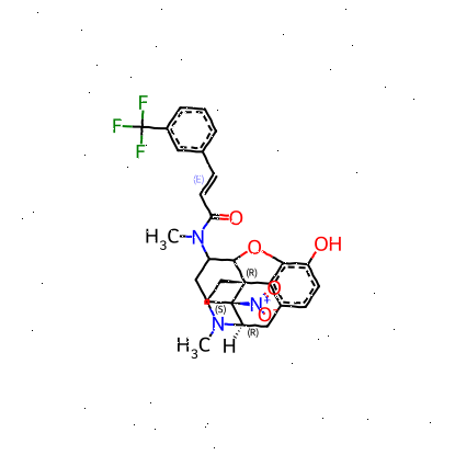 CN(C(=O)/C=C/c1cccc(C(F)(F)F)c1)C1CC[C@@]2([N+](=O)[O-])[C@H]3Cc4ccc(O)c5c4[C@@]2(CCN3C)C1O5